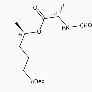 CCCCCCCCCCCCC[C@@H](C)OC(=O)[C@H](CC(C)C)NC=O